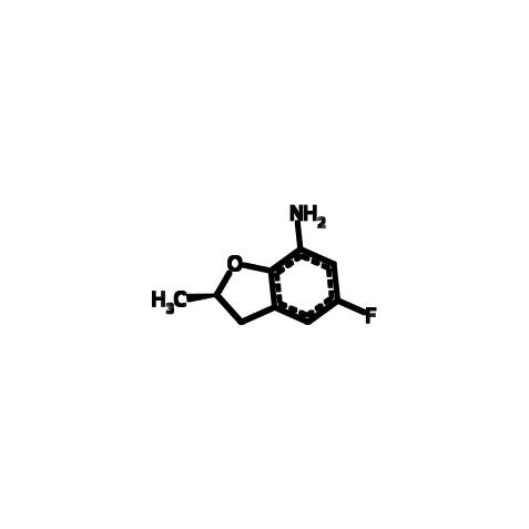 C[C@@H]1Cc2cc(F)cc(N)c2O1